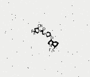 N#C[C@@H]1CC(F)(F)CN1C(=O)CN1CC[C@H](Oc2ccnc3c(C(F)(F)F)cccc23)C1